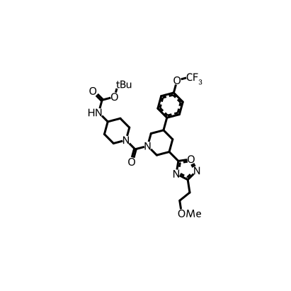 COCCc1noc(C2CC(c3ccc(OC(F)(F)F)cc3)CN(C(=O)N3CCC(NC(=O)OC(C)(C)C)CC3)C2)n1